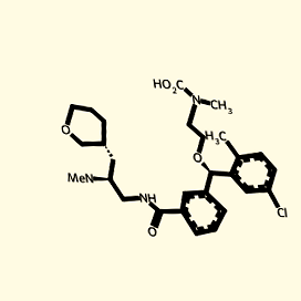 CN[C@H](CNC(=O)c1cccc([C@@H](OCCN(C)C(=O)O)c2cc(Cl)ccc2C)c1)C[C@H]1CCCOC1